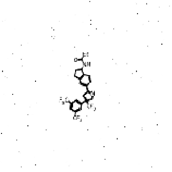 CCC(=O)NC1CCc2cc(C3=NCC(c4cc(C(F)(F)F)cc(C(F)(F)F)c4)(C(F)(F)F)C3)ccc21